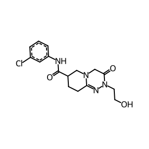 O=C(Nc1cccc(Cl)c1)C1CCC2=NN(CCO)C(=O)CN2C1